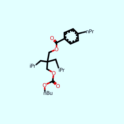 CCCCOC(=O)OCC(COC(=O)c1ccc(CCC)cc1)(CC(C)C)CC(C)C